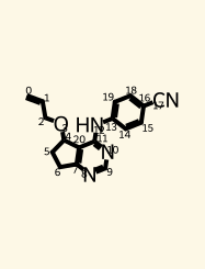 C=CCOC1CCc2ncnc(Nc3ccc(C#N)cc3)c21